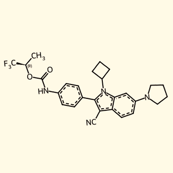 C[C@@H](OC(=O)Nc1ccc(-c2c(C#N)c3ccc(N4CCCC4)cc3n2C2CCC2)cc1)C(F)(F)F